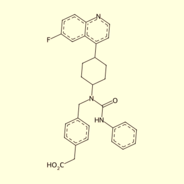 O=C(O)Cc1ccc(CN(C(=O)Nc2ccccc2)C2CCC(c3ccnc4ccc(F)cc34)CC2)cc1